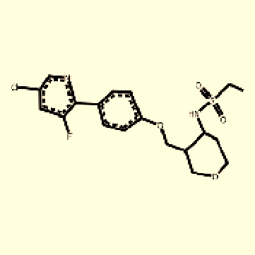 CCS(=O)(=O)NC1CCOCC1COc1ccc(-c2ncc(Cl)cc2F)cc1